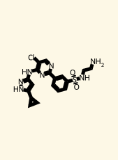 NCCNS(=O)(=O)c1cccc(-c2ncc(Cl)c(Nc3cc(C4CC4)[nH]n3)n2)c1